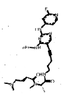 CCCNc1nc(Nc2ccnc(F)c2)ncc1C#CCCCNC(=O)[C@H](C)N(C)C(=O)/C=C/CN(C)C